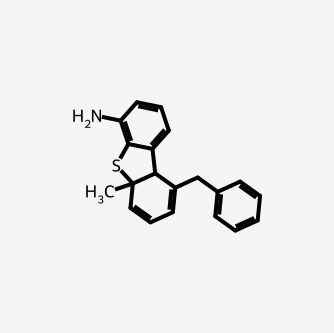 CC12C=CC=C(Cc3ccccc3)C1c1cccc(N)c1S2